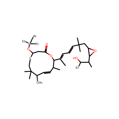 CCC(O)C(C)C1OC1CC(C)(C)/C=C/C=C(\C)C1OC(=O)CC(O[Si](CC)(CC)C(C)C)CCC(C)(C)C(OC(C)=O)/C=C/C1C